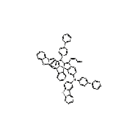 C=C/C=C\C1=C(N(c2ccc(-c3ccccc3)cc2)c2ccc3oc4ccccc4c3c2)C2(c3cc(N(c4ccc(-c5ccccc5)cc4)c4ccc5oc6ccccc6c5c4)ccc31)c1ccccc1-c1ccccc12